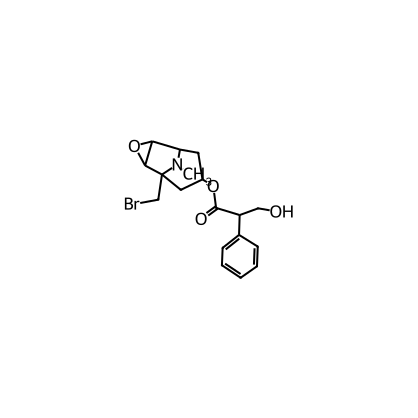 CN1C2CC(OC(=O)C(CO)c3ccccc3)CC1(CBr)C1OC21